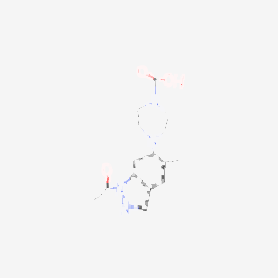 CC(=O)n1ncc2cc(C)c(N3CCN(C(=O)O)CC3)cc21